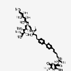 N=C(NCCCCc1ccc(-c2ccc(CCC(=O)N(CI)CCN(C[C@H](O)[C@@H](O)[C@H](O)[C@H](O)CO)C[C@H](O)[C@@H](O)[C@H](O)[C@H](O)CO)cc2)cc1)NC(=O)c1nc(Cl)c(N)nc1N